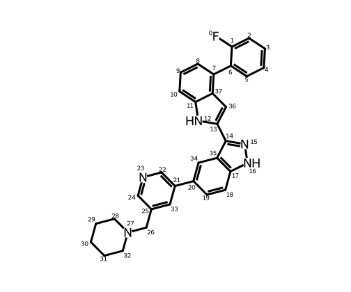 Fc1ccccc1-c1cccc2[nH]c(-c3n[nH]c4ccc(-c5cncc(CN6CCCCC6)c5)cc34)cc12